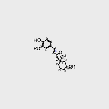 O=C(/C=C/c1ccc(O)c(O)c1)O[C@@]1(O)CCC[C@@H](O)C1